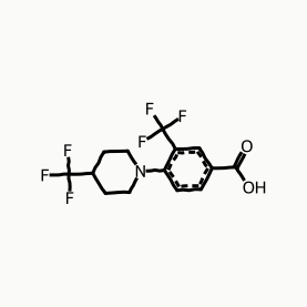 O=C(O)c1ccc(N2CCC(C(F)(F)F)CC2)c(C(F)(F)F)c1